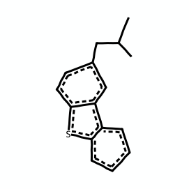 CC(C)Cc1ccc2sc3ccccc3c2c1